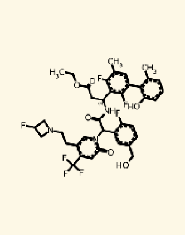 CCOC(=O)C[C@H](NC(=O)C(c1cc(CO)ccc1F)n1cc(CCN2CC(F)C2)c(C(F)(F)F)cc1=O)c1c(F)c(C)cc(-c2c(C)cccc2O)c1F